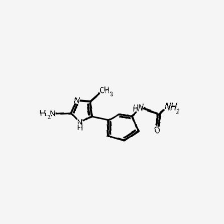 Cc1nc(N)[nH]c1-c1cccc(NC(N)=O)c1